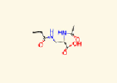 CCC(=O)NCC(NC(C)=O)C(=O)O